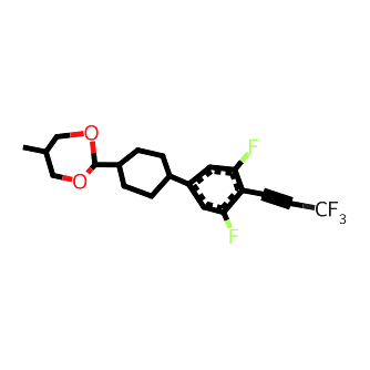 CC1COC(C2CCC(c3cc(F)c(C#CC(F)(F)F)c(F)c3)CC2)OC1